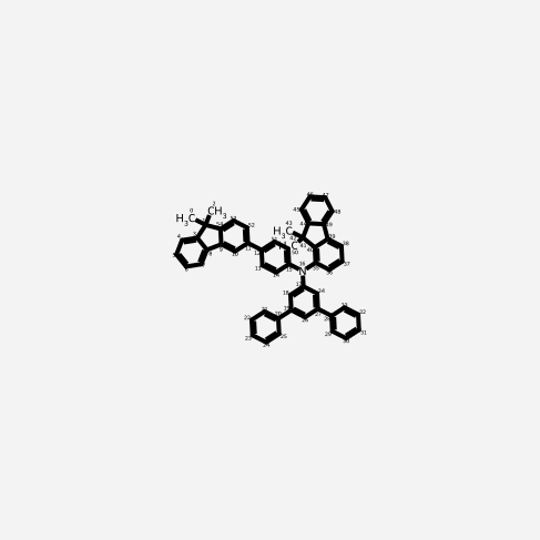 CC1(C)c2ccccc2-c2cc(-c3ccc(N(c4cc(-c5ccccc5)cc(-c5ccccc5)c4)c4cccc5c4C(C)(C)c4ccccc4-5)cc3)ccc21